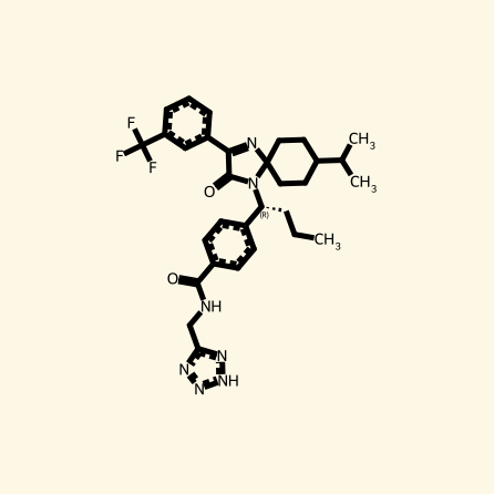 CCC[C@H](c1ccc(C(=O)NCc2nn[nH]n2)cc1)N1C(=O)C(c2cccc(C(F)(F)F)c2)=NC12CCC(C(C)C)CC2